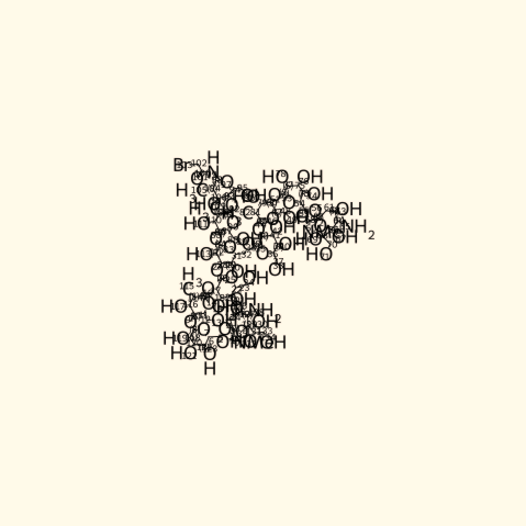 CNC(=O)[C@@]1(OCC2O[C@@H](O[C@@H]3C(CO)O[C@@H](OC4C(O)[C@H](O)C(CO)O[C@@H]4OC4[C@H](O)C(CO[C@H]5OC(CO)[C@@H](O)C(O)[C@H]5O[C@@H]5O[C@@H](CO)[C@@H](O[C@@H]6OC(CO[C@]7(C(=O)NC)C[C@@H](O)[C@@H](N)[C@@](O)(C(O)CO)O7)[C@H](O)C(O)[C@@H]6O)C(O)C5C)O[C@@H](O[C@@H]5C(CO)O[C@@H](O[C@@H]6C(CO)O[C@@H](NC(=O)CBr)[C@@H](C)C6O)[C@@H](C)C5O)[C@@H]4O)[C@@H](C)C3O)[C@@H](O)C(O)[C@H]2O)C[C@@H](O)[C@@H](N)[C@@](O)(C(O)CO)O1